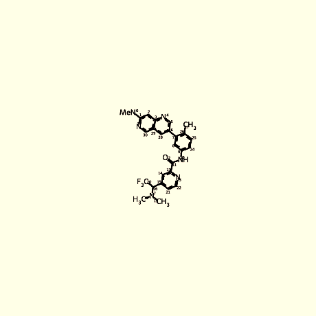 CNc1cc2ncc(-c3cc(NC(=O)c4cc(C(N(C)C)C(F)(F)F)ccn4)ccc3C)cc2cn1